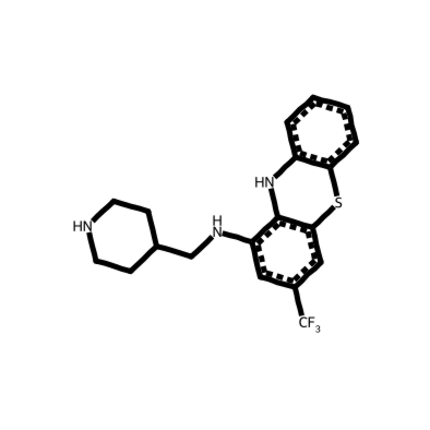 FC(F)(F)c1cc(NCC2CCNCC2)c2c(c1)Sc1ccccc1N2